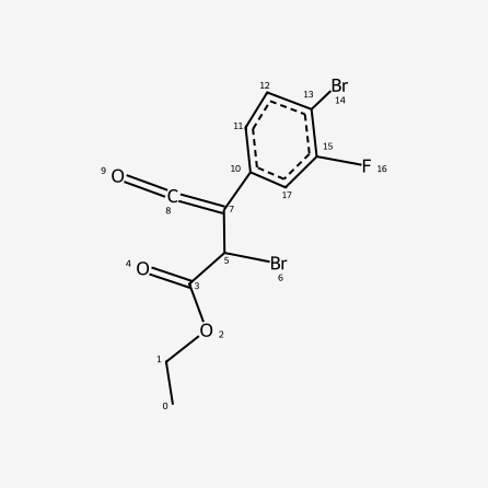 CCOC(=O)C(Br)C(=C=O)c1ccc(Br)c(F)c1